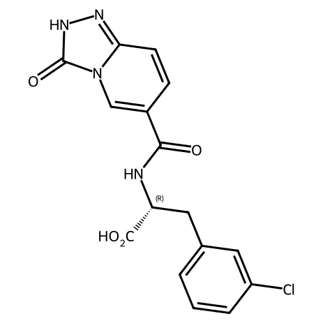 O=C(N[C@H](Cc1cccc(Cl)c1)C(=O)O)c1ccc2n[nH]c(=O)n2c1